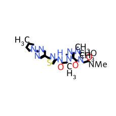 CNC(=O)CN(C)C(=O)c1c(N(C)C=O)ncn1C(C)C(=O)Nc1csc(-c2cnc(N3CCC(C)C3)nc2)n1